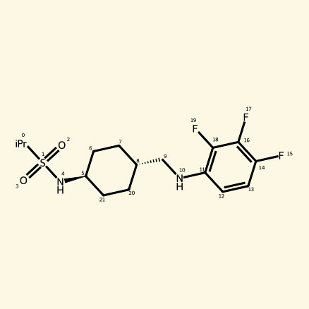 CC(C)S(=O)(=O)N[C@H]1CC[C@H](CNc2ccc(F)c(F)c2F)CC1